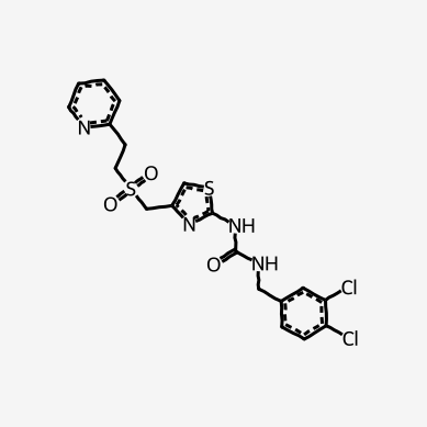 O=C(NCc1ccc(Cl)c(Cl)c1)Nc1nc(CS(=O)(=O)CCc2ccccn2)cs1